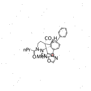 CCCC(=O)N1CC[C@](CCCc2ccccc2)(C(=O)O)[C@](C(=O)NC)(c2ccccc2-c2cocn2)N1CC